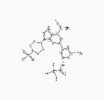 CCS(=O)(=O)N1CCC(c2c[nH]c3c(C(N)=O)cc(-c4cccc(N)n4)cc23)CC1.O=C(O)C(F)(F)F